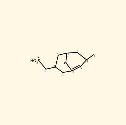 CC1C=C2CC(C1)CC(CS(=O)(=O)O)C2